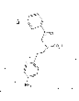 Nc1ccc(CCN(C[C@@H](O)c2cccc(Cl)c2)C(=O)O)cc1